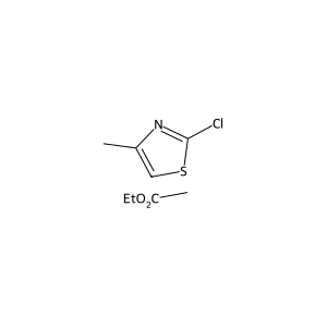 CCOC(C)=O.Cc1csc(Cl)n1